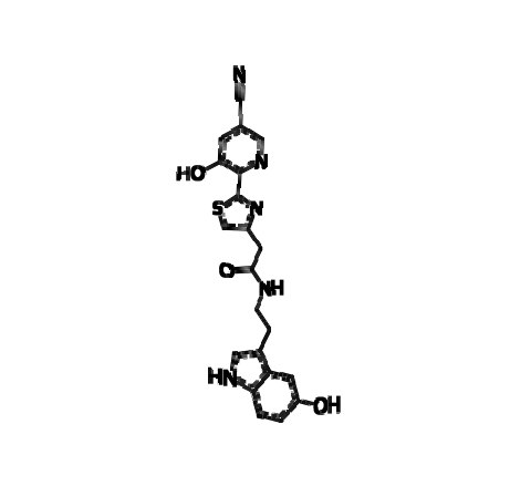 N#Cc1cnc(-c2nc(CC(=O)NCCc3c[nH]c4ccc(O)cc34)cs2)c(O)c1